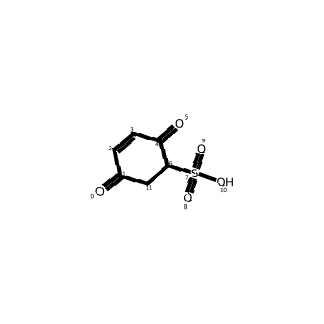 O=C1C=CC(=O)C(S(=O)(=O)O)C1